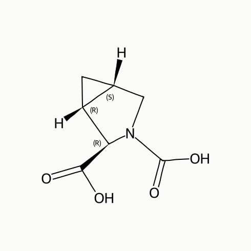 O=C(O)[C@H]1[C@@H]2C[C@@H]2CN1C(=O)O